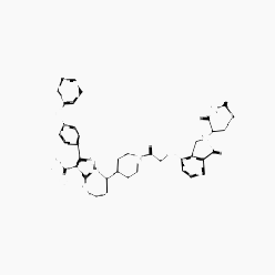 NC(=O)c1c(-c2ccc(Oc3ccccc3)cc2)nn2c1NCCC2C1CCN(C(=O)CSc2cccc3c2CN(C2CCC(=O)NC2=O)C3=O)CC1